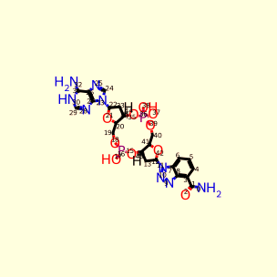 NC(=O)c1cccc2c1nnn2C1C[C@@H]2OP(O)OCC3OC(n4cnc5c4N=CNC5N)C[C@@H]3OP(=O)(O)OCC2O1